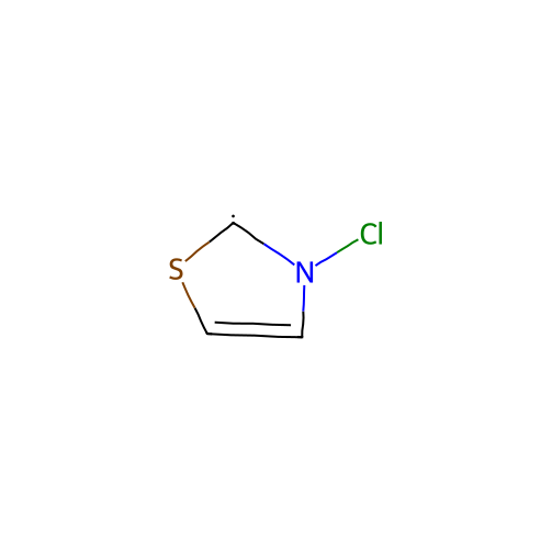 ClN1[CH]SC=C1